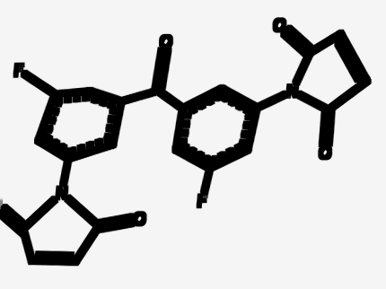 O=C(c1cc(F)cc(N2C(=O)C=CC2=O)c1)c1cc(F)cc(N2C(=O)C=CC2=O)c1